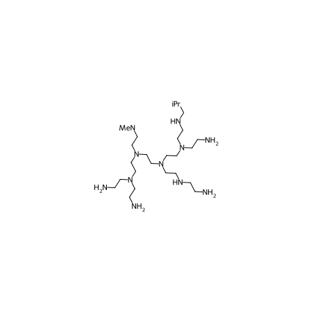 CNCCN(CCN(CCN)CCN)CCN(CCNCCN)CCN(CCN)CCNCC(C)C